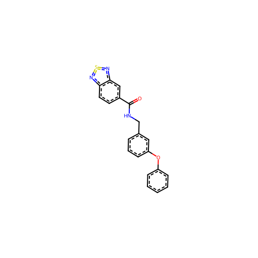 O=C(NCc1cccc(Oc2ccccc2)c1)c1ccc2nsnc2c1